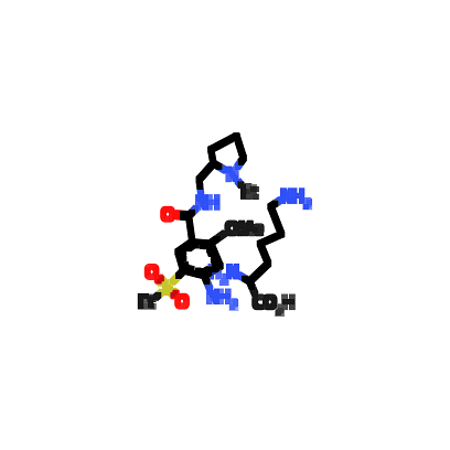 CCN1CCCC1CNC(=O)c1cc(S(=O)(=O)CC)c(N)cc1OC.NCCCCC(N)C(=O)O